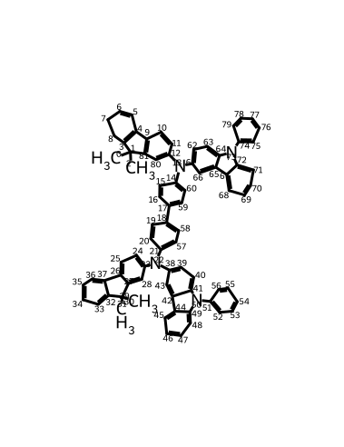 CC1(C)C2=C(C=CCC2)c2ccc(N(c3ccc(-c4ccc(N(c5ccc6c(c5)C(C)(C)c5ccccc5-6)c5ccc6c(c5)c5ccccc5n6-c5ccccc5)cc4)cc3)c3ccc4c(c3)c3ccccc3n4-c3ccccc3)cc21